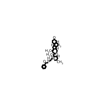 CC1=C2C[C@H]3C(CC[C@@H]4CC(=O)CC[C@@]43C)[C@@H]2CC[C@@]2(C1)O[C@@H]1C[C@H](C)CN(CCNCC(=O)c3ccccc3)[C@H]1[C@H]2C